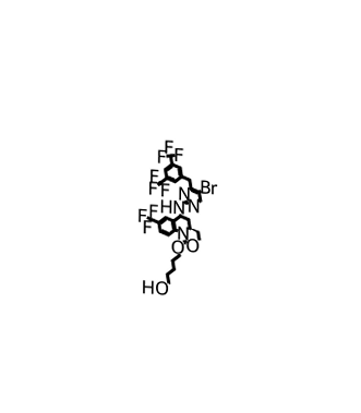 CC[C@@H]1C[C@H](Nc2ncc(Br)c(Cc3cc(C(F)(F)F)cc(C(F)(F)F)c3)n2)c2cc(C(F)(F)F)ccc2N1C(=O)OCCCCCO